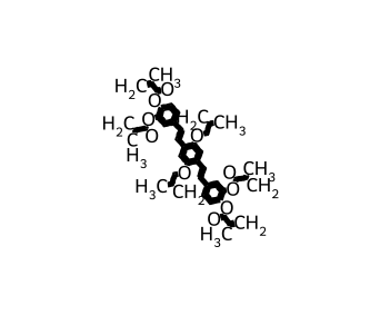 C=C(C)COc1cc(/C=C/c2ccc(OC(=O)C(=C)C)c(OC(=O)C(=C)C)c2)c(OCC(=C)C)cc1/C=C/c1ccc(OC(=O)C(=C)C)c(OC(=O)C(=C)C)c1